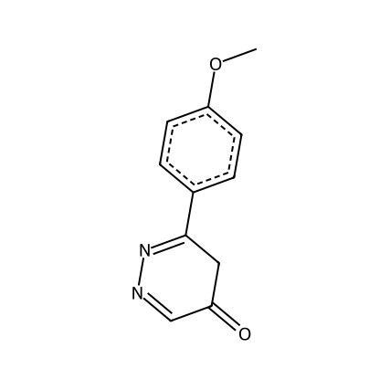 COc1ccc(C2=NN=CC(=O)C2)cc1